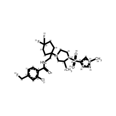 CC1CN(C2(CNC(=O)c3ccc(CF)cc3Cl)CCC(F)(F)CC2)CCN1S(=O)(=O)c1cn(C)nn1